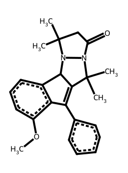 COc1cccc2c1C(c1ccccc1)=C1C2N2N(C(=O)CC2(C)C)C1(C)C